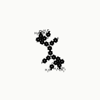 C=Cc1ccc(Oc2ccc(C3(c4ccc(C(C)(C)C)cc4)c4ccccc4-c4ccc(-c5ccc(N(c6ccc(-c7ccc(F)cc7)cc6)c6ccc(-c7ccc(N(c8ccc(-c9ccc(F)cc9)cc8)c8ccc(-c9ccc%10c(c9)C(c9ccc(Oc%11ccc(C=C)cc%11)cc9)(c9ccc(C(C)(C)C)cc9)c9ccccc9-%10)cc8)cc7)cc6)cc5)cc43)cc2)cc1